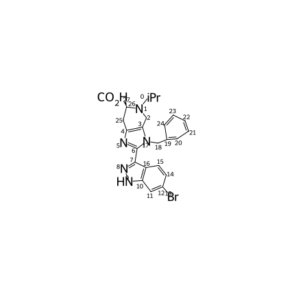 CC(C)N1Cc2c(nc(-c3n[nH]c4cc(Br)ccc34)n2Cc2ccccc2)C[C@H]1C(=O)O